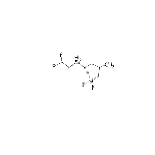 CC(CC[SiH2]CC(F)F)C[Si](F)(F)F